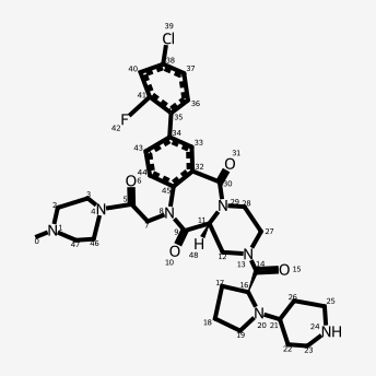 CN1CCN(C(=O)CN2C(=O)[C@H]3CN(C(=O)[C@@H]4CCCN4C4CCNCC4)CCN3C(=O)c3cc(-c4ccc(Cl)cc4F)ccc32)CC1